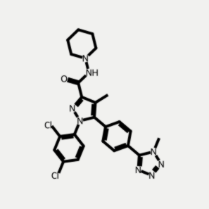 Cc1c(C(=O)NN2CCCCC2)nn(-c2ccc(Cl)cc2Cl)c1-c1ccc(-c2nnnn2C)cc1